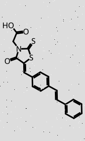 O=C(O)CN1C(=O)/C(=C/c2ccc(/C=C/c3ccccc3)cc2)SC1=S